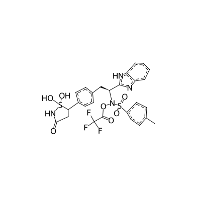 Cc1ccc(S(=O)(=O)N(OC(=O)C(F)(F)F)[C@@H](Cc2ccc(C3CC(=O)NS3(O)O)cc2)c2nc3ccccc3[nH]2)cc1